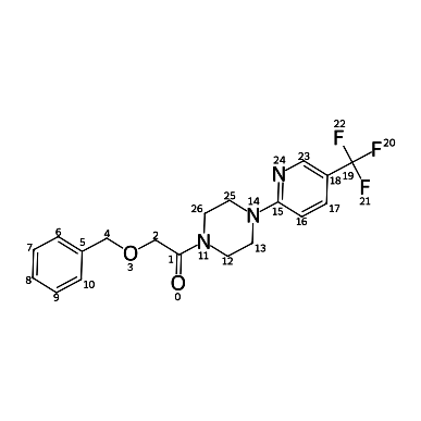 O=C(COCc1ccccc1)N1CCN(c2ccc(C(F)(F)F)cn2)CC1